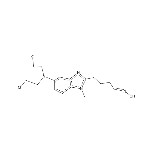 Cn1c(CCC/C=N/O)nc2cc(N(CCCl)CCCl)ccc21